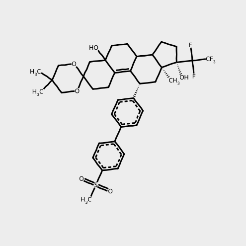 CC1(C)COC2(CCC3=C4C(CCC3(O)C2)C2CC[C@@](O)(C(F)(F)C(F)(F)F)[C@@]2(C)C[C@@H]4c2ccc(-c3ccc(S(C)(=O)=O)cc3)cc2)OC1